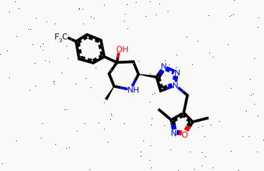 Cc1noc(C)c1Cn1cc([C@@H]2CC(O)(c3ccc(C(F)(F)F)cc3)C[C@H](C)N2)nn1